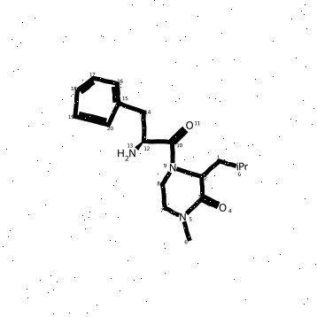 CC(C)CC1C(=O)N(C)CCN1C(=O)[C@@H](N)Cc1ccccc1